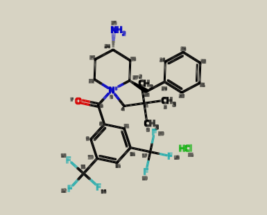 CC(C)(C)C[N+]1(C(=O)c2cc(C(F)(F)F)cc(C(F)(F)F)c2)CC[C@H](N)C[C@H]1Cc1ccccc1.Cl